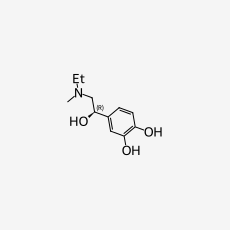 CCN(C)C[C@H](O)c1ccc(O)c(O)c1